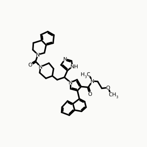 COCCN(C)C(=O)c1cn(C(CC2CCN(C(=O)N3CCc4ccccc4C3)CC2)c2cnc[nH]2)cc1-c1cccc2ccccc12